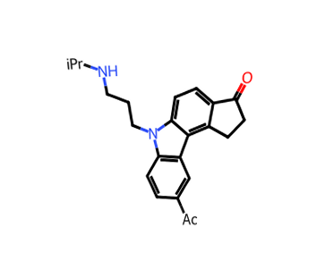 CC(=O)c1ccc2c(c1)c1c3c(ccc1n2CCCNC(C)C)C(=O)CC3